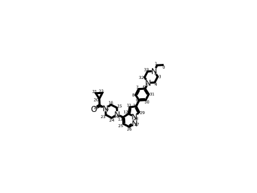 CCN1CCN(c2ccc(-c3cc4c(N5CCN(C(=O)C6CC6)CC5)ccnn4c3)cc2)CC1